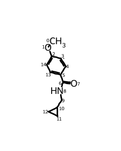 COc1[c]cc(C(=O)NCC2CC2)cc1